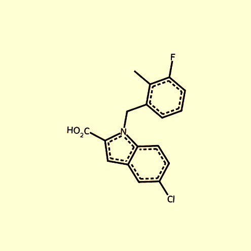 Cc1c(F)cccc1Cn1c(C(=O)O)cc2cc(Cl)ccc21